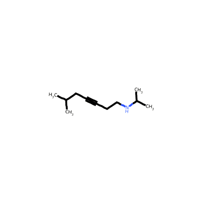 CC(C)CC#CCCNC(C)C